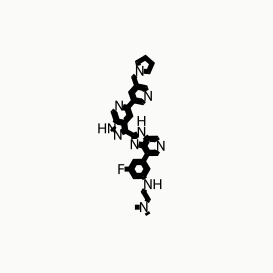 CN(C)CCNc1cc(F)cc(-c2cncc3[nH]c(-c4n[nH]c5cnc(-c6cncc(CN7CCCC7)c6)cc45)nc23)c1